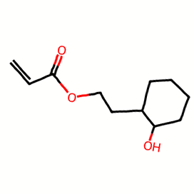 C=CC(=O)OCCC1CCCCC1O